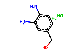 Cl.Cl.Nc1ccc(CO)cc1N